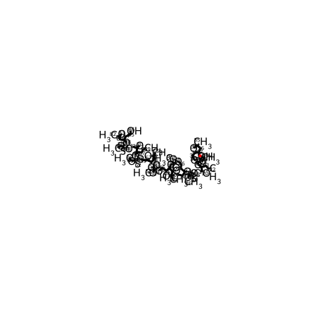 COP(=O)(OCC1OC(C)CC1OP(=S)(OC)OCC1OC(C)CC1OP(=S)(OC)OCC1OC(C)CC1O)OC1CC(C)OC1COP(=O)(OC)OC1CC(C)OC1COP(=S)(OC)OC1CC(C)OC1COP(=S)(OC)OC1CC(C)OC1CO